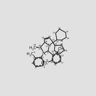 Cc1ccccc1N1C(c2c(C)cccc2C)N2C(C=CC2(C2CCCCC2)C2CCCC2)[C@@H]1C